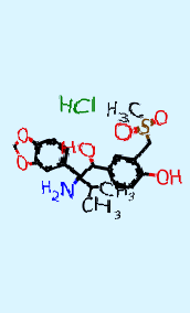 CC(C)C(N)(c1ccc2c(c1)OCO2)C(O)c1ccc(O)c(CS(C)(=O)=O)c1.Cl